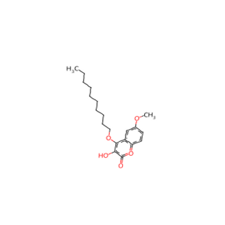 CCCCCCCCCCOc1c(O)c(=O)oc2ccc(OC)cc12